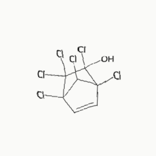 OC1(Cl)C2(Cl)C=CC(Cl)(C2Cl)C1(Cl)Cl